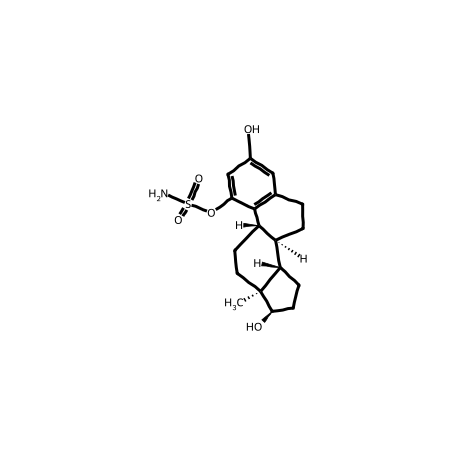 C[C@]12CC[C@@H]3c4c(cc(O)cc4OS(N)(=O)=O)CC[C@H]3[C@@H]1CC[C@H]2O